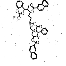 CC(C(CCCOCCCC(OC(=O)c1ccc2ccccc2c1)C(C)C(OC(=O)C(F)(F)F)c1ccccc1)OC(=O)c1ccc2ccccc2c1)C(OC(=O)C(F)(F)F)c1ccccc1